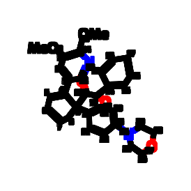 COc1cc(C2=CC=CCC2(C(=O)C(=O)c2ccccc2)c2ccc(N3CCOCC3)cc2)cnc1OC